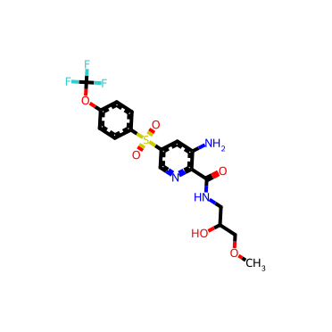 COCC(O)CNC(=O)c1ncc(S(=O)(=O)c2ccc(OC(F)(F)F)cc2)cc1N